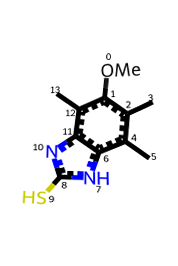 COc1c(C)c(C)c2[nH]c(S)nc2c1C